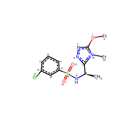 CCOc1nnc([C@@H](C)NS(=O)(=O)c2cccc(Cl)c2)n1CC